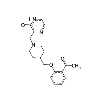 CC(=O)c1ccccc1OCC1CCN(Cc2ncc[nH]c2=O)CC1